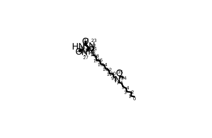 CCCCCCCCN(CCCCCCCCCCCN1CN(C)c2c1n(C)c(=O)[nH]c2=O)C(C)=O